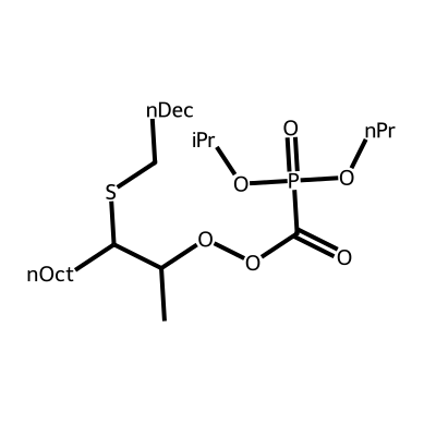 CCCCCCCCCCCSC(CCCCCCCC)C(C)OOC(=O)P(=O)(OCCC)OC(C)C